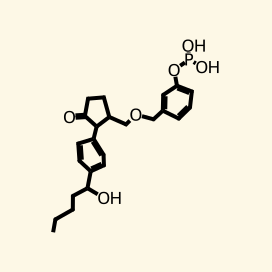 CCCCC(O)c1ccc(C2C(=O)CCC2COCc2cccc(OP(O)O)c2)cc1